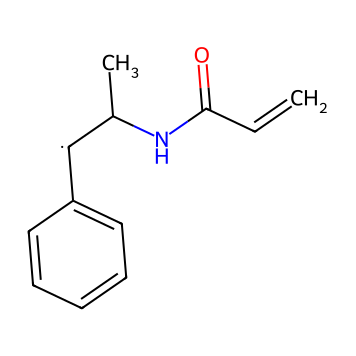 C=CC(=O)NC(C)[CH]c1ccccc1